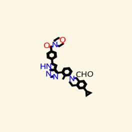 Cc1c(-c2ncnc3[nH]c(-c4ccc(C(=O)N5CCOCC5)cc4)cc23)cccc1N1CCc2cc(C3CC3)ccc2C1C=O